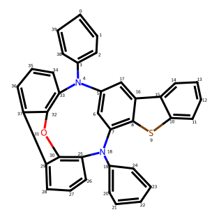 c1ccc(N2c3cc(c4sc5ccccc5c4c3)N(c3ccccc3)c3cccc4c3oc3c2cccc34)cc1